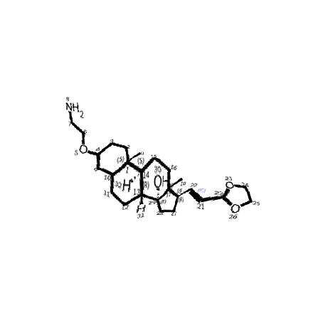 C[C@]12CCC(OCCN)CC1CC[C@@H]1[C@@H]2CC[C@]2(C)[C@@H](/C=C/C3OCCO3)CC[C@@]12O